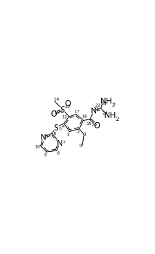 CCc1cc(Sc2ncccn2)c(S(C)(=O)=O)cc1C(=O)N=C(N)N